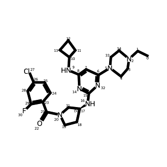 CCN1CCN(c2cc(NC3CCC3)nc(N[C@H]3CCN(C(=O)c4ccc(Cl)cc4F)C3)n2)CC1